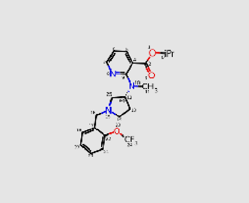 CC(C)OC(=O)c1cccnc1N(C)[C@@H]1CCN(Cc2ccccc2OC(F)(F)F)C1